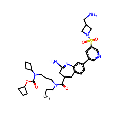 CCCN(CCCN(C(=O)OC1CCC1)C1CCC1)C(=O)C1=Cc2ccc(-c3cncc(S(=O)(=O)N4CC(CN)C4)c3)cc2N=C(N)C1